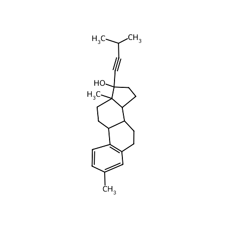 Cc1ccc2c(c1)CCC1C2CCC2(C)C1CCC2(O)C#CC(C)C